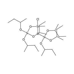 CCC(C)O[Si](OC(C)CC)(OC(C)CC)O[Si](C)(Cl)O[Si](OC(C)CC)(OC(C)CC)OC(C)CC